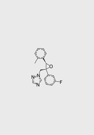 Cc1ccccc1[C@H]1O[C@]1(Cn1cncn1)c1cccc(F)c1